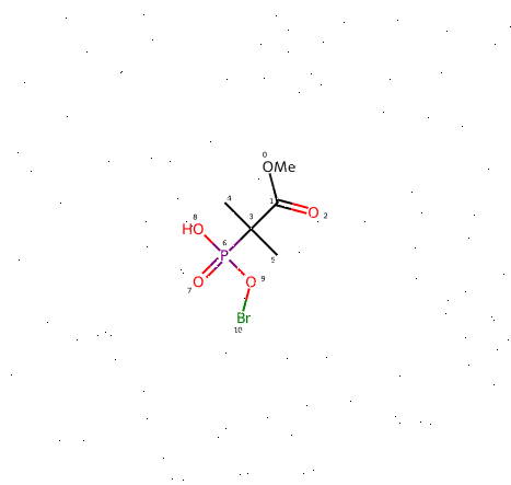 COC(=O)C(C)(C)P(=O)(O)OBr